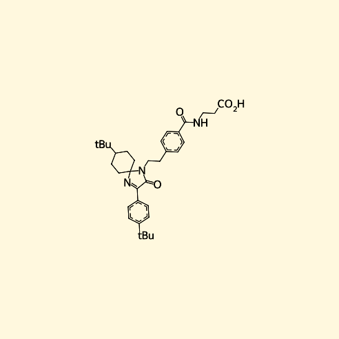 CC(C)(C)c1ccc(C2=NC3(CCC(C(C)(C)C)CC3)N(CCc3ccc(C(=O)NCCC(=O)O)cc3)C2=O)cc1